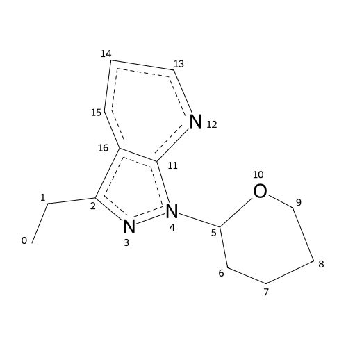 CCc1nn(C2CCCCO2)c2ncccc12